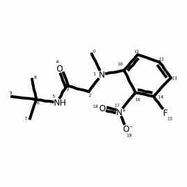 CN(CC(=O)NC(C)(C)C)c1cccc(F)c1[N+](=O)[O-]